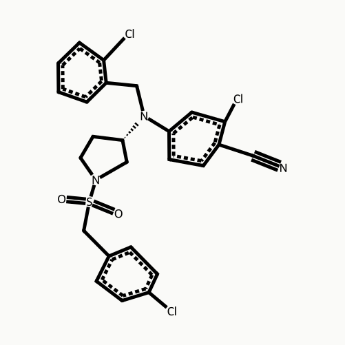 N#Cc1ccc(N(Cc2ccccc2Cl)[C@H]2CCN(S(=O)(=O)Cc3ccc(Cl)cc3)C2)cc1Cl